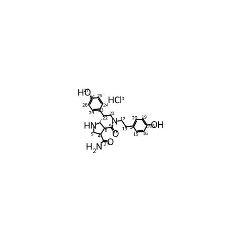 Cl.NC(=O)C1CNCC1C(=O)N(CCc1ccc(O)cc1)CCc1ccc(O)cc1